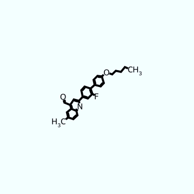 CCCCCOc1ccc(-c2ccc(-c3cc(C=O)c4cc(C)ccc4n3)cc2F)cc1